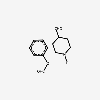 O=CC1CCN(F)CC1.O=COc1ccccc1